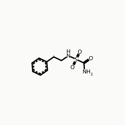 NC(=O)S(=O)(=O)NC[CH]c1ccccc1